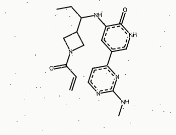 C=CC(=O)N1CC(C(CC)Nc2cc(-c3ccnc(NC)n3)c[nH]c2=O)C1